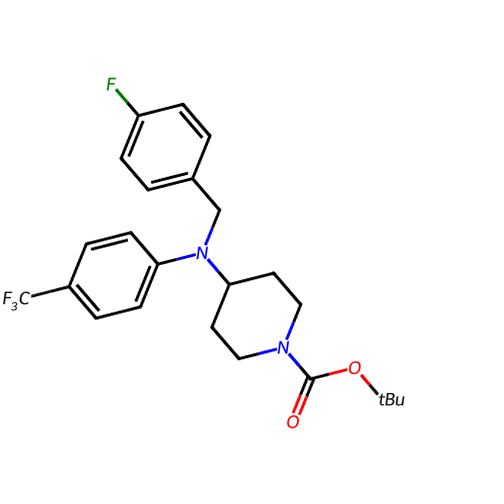 CC(C)(C)OC(=O)N1CCC(N(Cc2ccc(F)cc2)c2ccc(C(F)(F)F)cc2)CC1